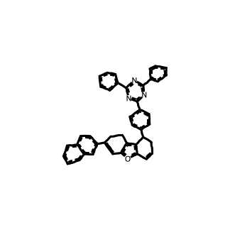 C1=Cc2oc3c(c2C(c2ccc(-c4nc(-c5ccccc5)nc(-c5ccccc5)n4)cc2)C1)CCC(c1ccc2ccccc2c1)=C3